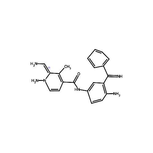 CC1=C(C(=O)Nc2ccc(N)c(C(=N)c3ccccc3)c2)C=CN(N)/C1=C\N